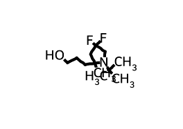 CC(C)(C)N1CC(F)(F)CC1(C)CCCO